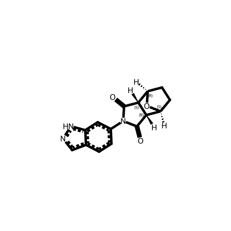 O=C1[C@@H]2[C@H](C(=O)N1c1ccc3cn[nH]c3c1)[C@H]1CC[C@@H]2O1